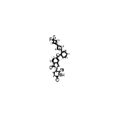 O=C1CCC(N2Cc3cc(O[C@@H]4CCCC[C@@H]4N4CC(C5CC(F)(F)C5)C4)ccc3C2=O)C(=O)N1